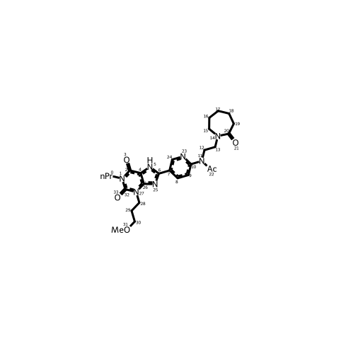 CCCn1c(=O)c2[nH]c(-c3ccc(N(CCN4CCCCCC4=O)C(C)=O)nc3)nc2n(CCCOC)c1=O